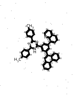 Cc1ccc(C2=NC(C3=CCC(C)C=C3)NC(c3cc(-c4cc5ccccc5c5ccccc45)cc(-c4cccc5cccnc45)c3)=N2)cc1